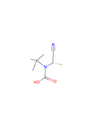 C[C@@H](C#N)N(C(=O)O)C(C)(C)C